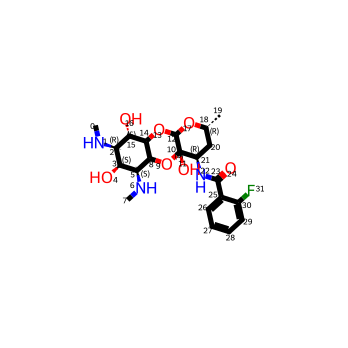 CN[C@@H]1[C@H](O)[C@H](NC)C2O[C@]3(O)C(OC2[C@H]1O)O[C@H](C)C[C@H]3NC(=O)c1ccccc1F